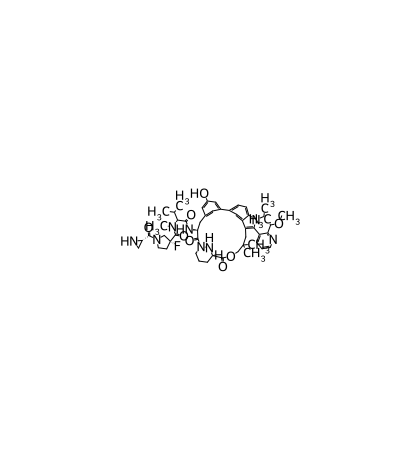 CCn1c(-c2cccnc2[C@H](C)OC)c2c3cc(ccc31)-c1cc(O)cc(c1)C[C@H](NC(=O)C(C(C)C)N(C)C(=O)[C@@]1(F)CCN(C(=O)[C@@H]3CN3)C1)C(=O)N1CCC[C@H](N1)C(=O)OCC(C)(C)C2